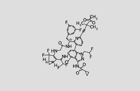 CC(C)(C#Cc1ccc(-c2ccc(Cl)c3c(NS(=O)(=O)C4CC4)nn(CC(F)F)c23)c([C@H](Cc2cc(F)cc(F)c2)NC(=O)CNC2=C(C(=N)C(F)F)[C@H]3C[C@H]3C2(F)F)n1)S(C)(=O)=O